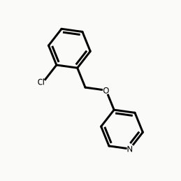 Clc1ccccc1COc1ccncc1